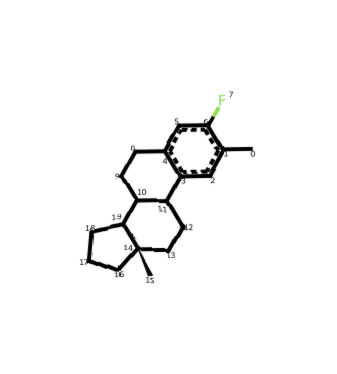 Cc1cc2c(cc1F)CCC1C2CC[C@]2(C)CCCC12